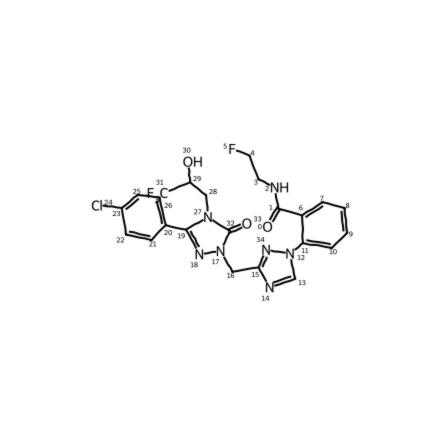 O=C(NCCF)c1ccccc1-n1cnc(Cn2nc(-c3ccc(Cl)cc3)n(CC(O)C(F)(F)F)c2=O)n1